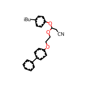 CCC(C)c1ccc(OC(CC#N)OCCOc2ccc(-c3ccccc3)cc2)cc1